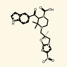 CC1(C)C(C(=O)c2ccc3[nH]ccc3c2)N(C(=O)O)CCN1C[C@@]1(C)Cn2cc([N+](=O)[O-])nc2O1